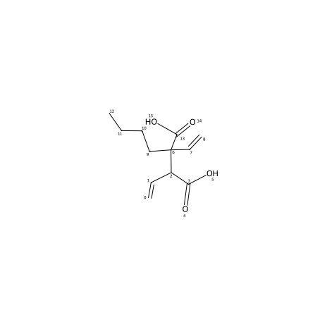 C=CC(C(=O)O)C(C=C)(CCCC)C(=O)O